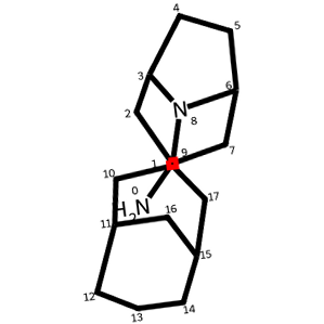 NC1CC2CCC(C1)N2C1CC2CCCC(C2)C1